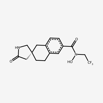 O=C1C[C@]2(CCc3cc(C(=O)N(O)CC(F)(F)F)ccc3C2)CN1